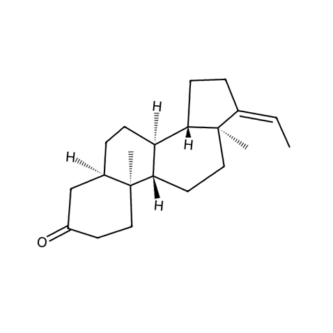 C/C=C1/CC[C@H]2[C@@H]3CC[C@@H]4CC(=O)CC[C@]4(C)[C@H]3CC[C@]12C